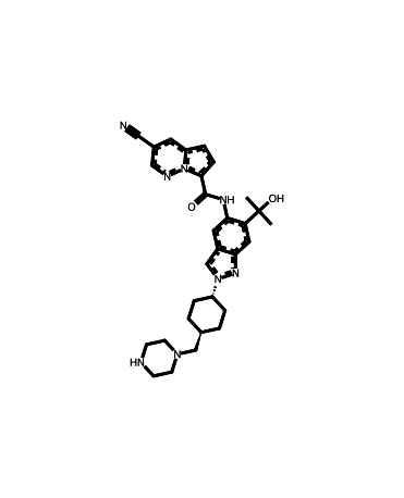 CC(C)(O)c1cc2nn([C@H]3CC[C@H](CN4CCNCC4)CC3)cc2cc1NC(=O)c1ccc2cc(C#N)cnn12